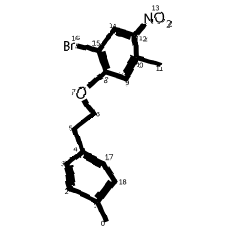 Cc1ccc(CCOc2cc(C)c([N+](=O)[O-])cc2Br)cc1